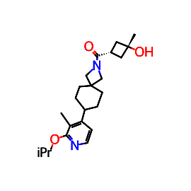 Cc1c(C2CCC3(CC2)CN(C(=O)[C@H]2C[C@@](C)(O)C2)C3)ccnc1OC(C)C